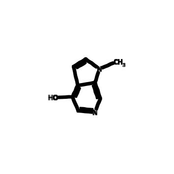 Cn1ccc2c(O)cncc21